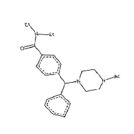 CCN(CC)C(=O)c1ccc(C(c2ccccc2)N2CCN(C(C)=O)CC2)cc1